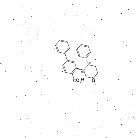 O=C(O)c1ccc(-c2ccccc2)cc1[C@@H]1CNCC[C@H]1c1ccccc1